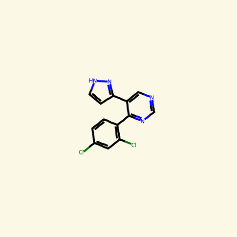 Clc1ccc(-c2n[c]ncc2-c2cc[nH]n2)c(Cl)c1